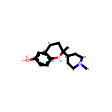 CN1CCC(C2(C)CCc3cc(O)ccc3O2)CC1